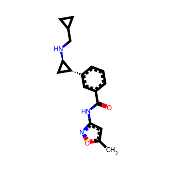 Cc1cc(NC(=O)c2cccc([C@@H]3C[C@H]3NCC3CC3)c2)no1